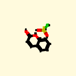 O=[SH](=O)Cl.O=c1ccc2ccccc2o1